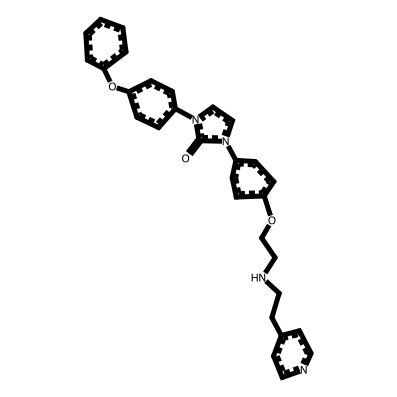 O=c1n(-c2ccc(OCCNCCc3ccncc3)cc2)ccn1-c1ccc(Oc2ccccc2)cc1